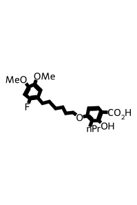 CCCc1c(OCCCCCCc2cc(OC)c(OC)cc2F)ccc(C(=O)O)c1O